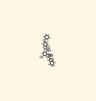 O=S(=O)(Nc1ccc(Cl)cc1NS(=O)(=O)c1cc2ccccc2o1)c1ccc(Oc2ccccc2)cc1